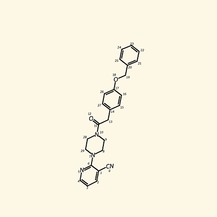 N#Cc1cccnc1N1CCN(C(=O)Cc2ccc(OCc3ccccc3)cc2)CC1